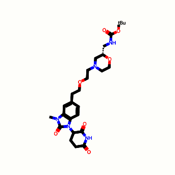 Cn1c(=O)n(C2CCC(=O)NC2=O)c2ccc(CCOCCN3CCO[C@@H](CNC(=O)OC(C)(C)C)C3)cc21